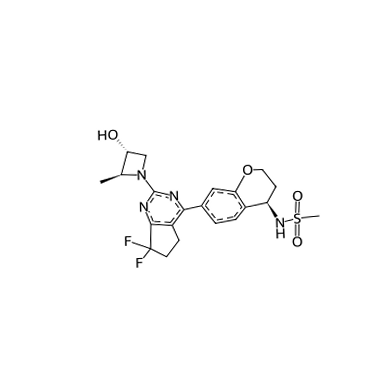 C[C@H]1[C@H](O)CN1c1nc(-c2ccc3c(c2)OCC[C@H]3NS(C)(=O)=O)c2c(n1)C(F)(F)CC2